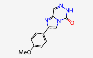 COc1ccc(-c2cn3c(=O)[nH]ncc3n2)cc1